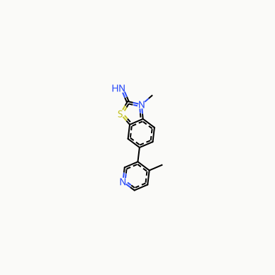 Cc1ccncc1-c1ccc2c(c1)sc(=N)n2C